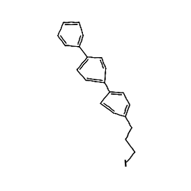 ICCCc1ccc(-c2ccc(-c3ccccc3)cc2)cc1